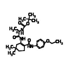 CCOc1ccc(NC(=O)C2=C(NC(=O)[C@@H](C)NC(=O)OC(C)(C)C)CC(C)(C)CC2)cc1